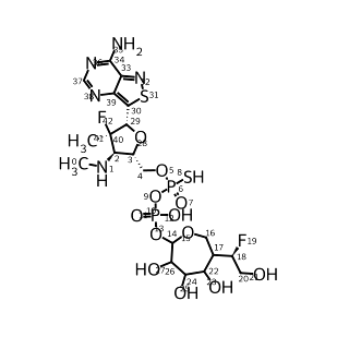 CN[C@@H]1[C@@H](COP(=O)(S)OP(=O)(O)OC2OCC([C@@H](F)CO)C(O)C(O)C2O)O[C@@H](c2snc3c(N)ncnc23)[C@]1(C)F